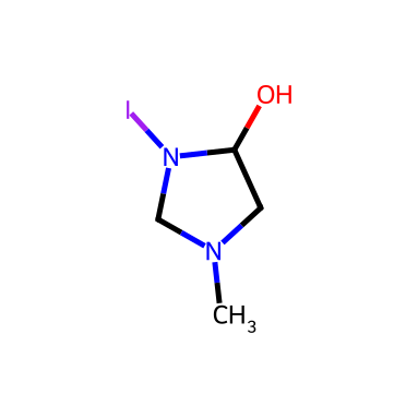 CN1CC(O)N(I)C1